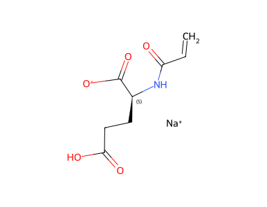 C=CC(=O)N[C@@H](CCC(=O)O)C(=O)[O-].[Na+]